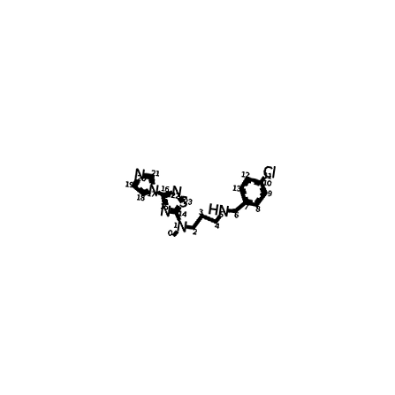 CN(CCCNCc1ccc(Cl)cc1)c1nc(-n2ccnc2)ns1